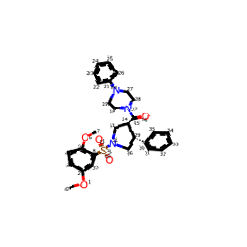 COc1ccc(OC)c(S(=O)(=O)N2C[C@@H](C(=O)N3CCN(c4ccccc4)CC3)[C@H](c3ccccc3)C2)c1